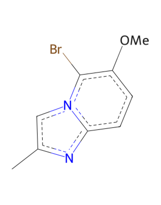 COc1ccc2nc(C)cn2c1Br